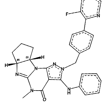 CN1C(=O)c2c(nn(Cc3ccc(-c4ncccc4F)cc3)c2Nc2ccccc2)N2C1=N[C@@H]1CCC[C@@H]12